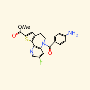 COC(=O)c1cc2c(s1)-c1ncc(F)cc1N(C(=O)c1ccc(N)cc1)CC2